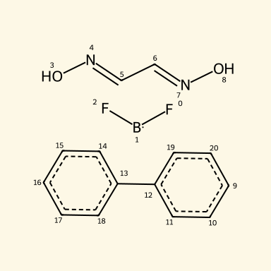 F[B]F.ON=CC=NO.c1ccc(-c2ccccc2)cc1